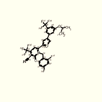 CC(C)Oc1cc(-c2coc(-c3cc(C(F)(F)F)c(C#N)c(=O)n3Cc3ccc(F)cc3F)c2)cc(C(F)(F)F)c1